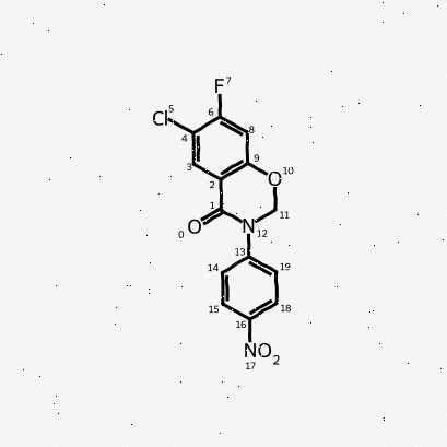 O=C1c2cc(Cl)c(F)cc2OCN1c1ccc([N+](=O)[O-])cc1